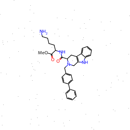 COC(=O)C(CCCCN)NC(=O)C1Cc2c([nH]c3ccccc23)CN1Cc1ccc(-c2ccccc2)cc1